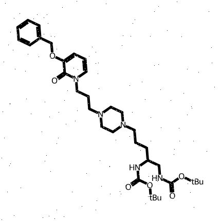 CC(C)(C)OC(=O)NCC(CCCN1CCN(CCCn2cccc(OCc3ccccc3)c2=O)CC1)NC(=O)OC(C)(C)C